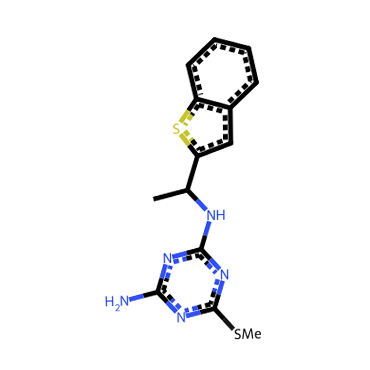 CSc1nc(N)nc(NC(C)c2cc3ccccc3s2)n1